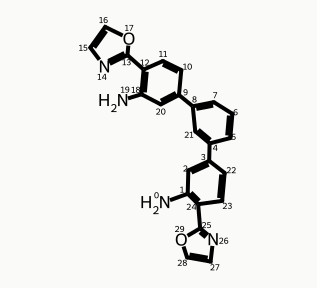 Nc1cc(-c2cccc(-c3ccc(-c4ncco4)c(N)c3)c2)ccc1-c1ncco1